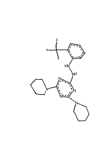 FC(F)(F)c1ccccc1NNc1nc(N2CCCCC2)nc(N2CCCCC2)n1